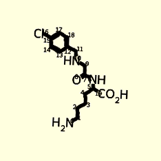 NCCCCC(NC(=O)CNCc1ccc(Cl)cc1)C(=O)O